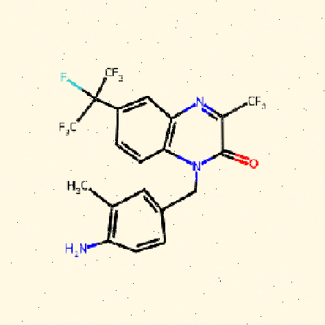 Cc1cc(Cn2c(=O)c(C(F)(F)F)nc3cc(C(F)(C(F)(F)F)C(F)(F)F)ccc32)ccc1N